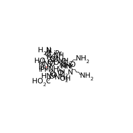 CC[C@H](C)[C@H](NC(=O)[C@H](CO)NC(=O)[C@H](CC(N)=O)NC(=O)[C@H](CC(C)C)NC(=O)[C@H](Cc1ccc(O)cc1)NC(=O)[C@H](CCCCN)NC(=O)[C@@H](N)CCCCN)C(=O)N[C@@H](CC(C)C)C(=O)N[C@@H](CC(N)=O)C(=O)O